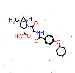 C[C@@]12C[C@@H]1N(C(=O)CNC(=O)c1ccc(OC3CCCCC3)cc1)[C@H](C(=O)O)C2